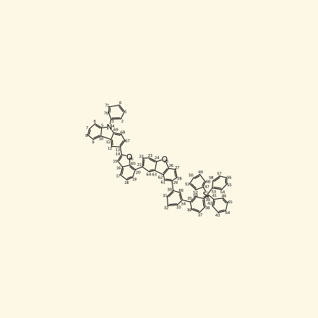 c1ccc(-n2c3ccccc3c3cc(-c4cc5cccc(-c6ccc7oc8ccc(-c9cccc(-c%10cccc([Si](c%11ccccc%11)(c%11ccccc%11)c%11ccccc%11)c%10)c9)cc8c7c6)c5o4)ccc32)cc1